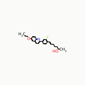 C=CCOc1ccc2nc(-c3ccc(C=CCCCC(C)O)c(F)c3)ccc2c1